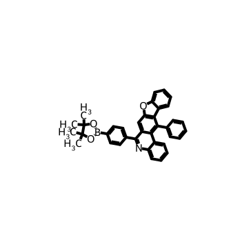 CC1(C)OB(c2ccc(-c3nc4ccccc4c4c(-c5ccccc5)c5c(cc34)oc3ccccc35)cc2)OC1(C)C